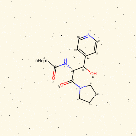 CCCCCCCC(=O)N[C@@H](C(=O)N1CCCC1)C(O)c1ccncc1